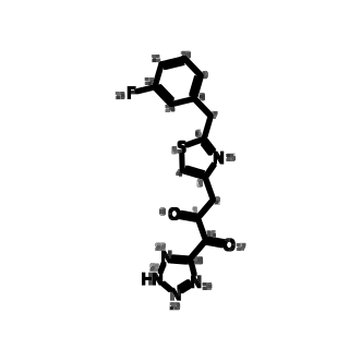 O=C(Cc1csc(Cc2cccc(F)c2)n1)C(=O)c1nn[nH]n1